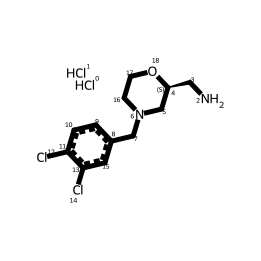 Cl.Cl.NC[C@H]1CN(Cc2ccc(Cl)c(Cl)c2)CCO1